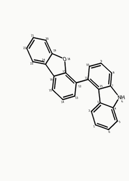 c1ccc2c(c1)[nH]c1cccc(-c3cccc4c3oc3ccccc34)c12